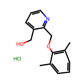 Cc1cccc(C)c1OCc1ncccc1CO.Cl